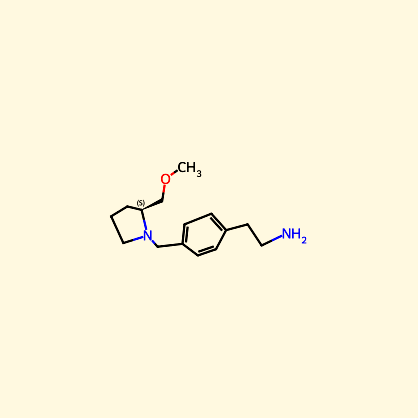 COC[C@@H]1CCCN1Cc1ccc(CCN)cc1